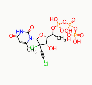 Cc1cc(=O)[nH]c(=O)n1[C@@H]1O[C@H]([C@H](C)OP(=O)(O)OP(=O)(O)OP(=O)(O)O)[C@H](O)C1(Cl)C#CCl